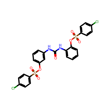 O=C(Nc1cccc(OS(=O)(=O)c2ccc(Cl)cc2)c1)Nc1ccccc1OS(=O)(=O)c1ccc(Cl)cc1